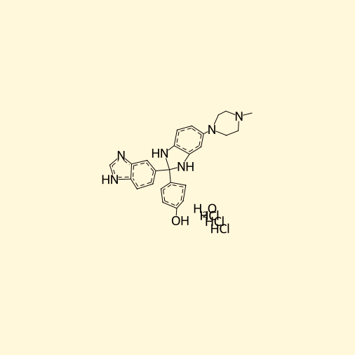 CN1CCN(c2ccc3c(c2)NC(c2ccc(O)cc2)(c2ccc4[nH]cnc4c2)N3)CC1.Cl.Cl.Cl.O